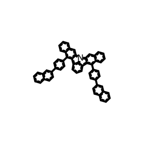 c1ccc2cc(-c3ccc(-c4c5ccccc5cc5c4c4cccc6c7c(-c8ccc(-c9ccc%10ccccc%10c9)cc8)c8ccccc8cc7n5c46)cc3)ccc2c1